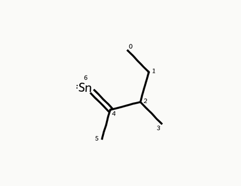 CCC(C)[C](C)=[Sn]